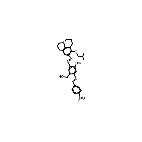 COc1cc(N=Nc2ccc([N+](=O)[O-])cc2)c(CO)cc1N=Nc1cc2c3c(c1OCC(C)C)CCCN3CCC2